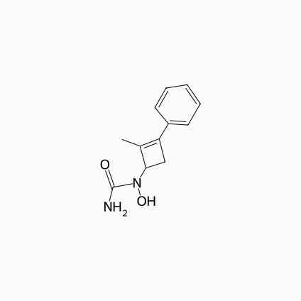 CC1=C(c2ccccc2)CC1N(O)C(N)=O